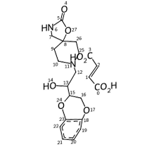 O=C(O)C=CC(=O)O.O=C1NCC2(CCN(CC(O)C3COc4ccccc4O3)CC2)O1